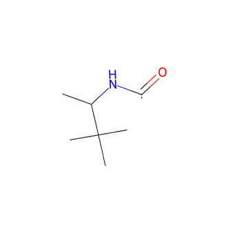 CC(N[C]=O)C(C)(C)C